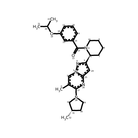 Cc1cn2nc([C@@H]3CCCCN3C(=O)c3cccc(OC(C)C)c3)cc2nc1N1CC[C@H](C)C1